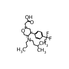 CCCN(CCC(C)C)[C@@H]1CO[C@@H](CC(=O)O)C[C@H]1c1ccc(C(F)(F)F)cc1